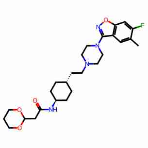 Cc1cc2c(N3CCN(CC[C@H]4CC[C@H](NC(=O)CC5OCCCO5)CC4)CC3)noc2cc1F